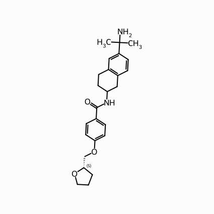 CC(C)(N)c1ccc2c(c1)CCC(NC(=O)c1ccc(OC[C@@H]3CCCO3)cc1)C2